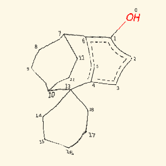 Oc1ccc2cc1C1CCC(CC1)C21CCCCC1